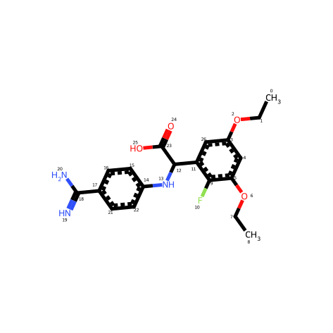 CCOc1cc(OCC)c(F)c(C(Nc2ccc(C(=N)N)cc2)C(=O)O)c1